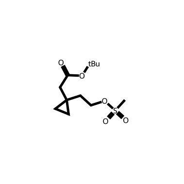 CC(C)(C)OC(=O)CC1(CCOS(C)(=O)=O)CC1